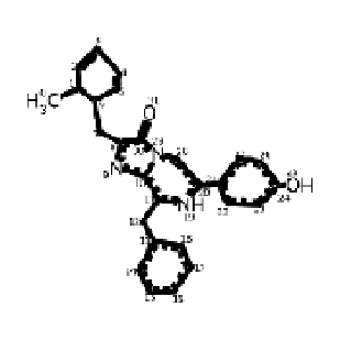 CC1C=CC=CC1Cc1nc2c(Cc3ccccc3)[nH]c(-c3ccc(O)cc3)cn-2c1=O